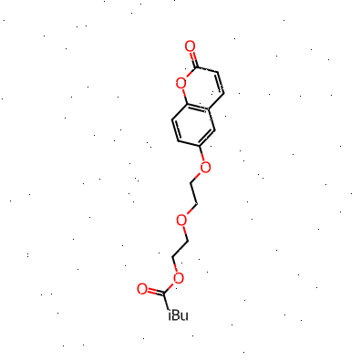 CCC(C)C(=O)OCCOCCOc1ccc2oc(=O)ccc2c1